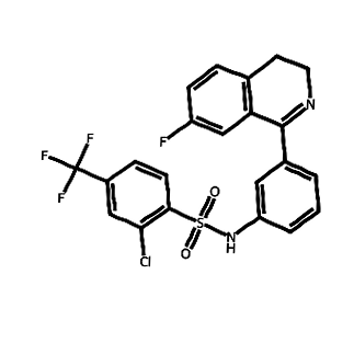 O=S(=O)(Nc1cccc(C2=NCCc3ccc(F)cc32)c1)c1ccc(C(F)(F)F)cc1Cl